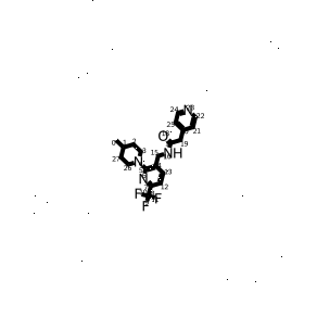 CC1CCN(c2nc(C(F)(F)F)ccc2CNC(=O)Cc2ccncc2)CC1